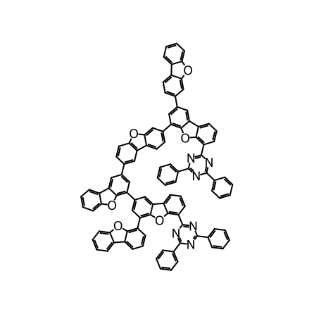 c1ccc(-c2nc(-c3ccccc3)nc(-c3cccc4c3oc3c(-c5ccc6c(c5)oc5ccc(-c7cc(-c8cc(-c9cccc%10c9oc9ccccc9%10)c9oc%10c(-c%11nc(-c%12ccccc%12)nc(-c%12ccccc%12)n%11)cccc%10c9c8)c8oc9ccccc9c8c7)cc56)cc(-c5ccc6c(c5)oc5ccccc56)cc34)n2)cc1